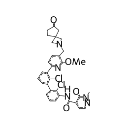 COc1nc(-c2cccc(-c3cccc(NC(=O)c4ccnn(C)c4=O)c3Cl)c2Cl)ccc1CN1CC2(CCC(=O)C2)C1